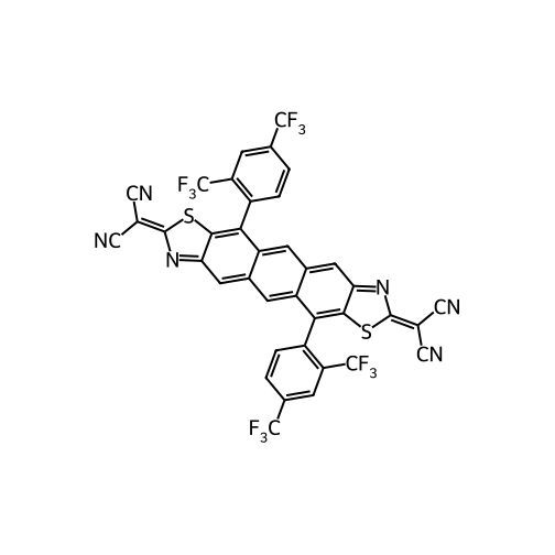 N#CC(C#N)=c1nc2cc3cc4c(-c5ccc(C(F)(F)F)cc5C(F)(F)F)c5sc(=C(C#N)C#N)nc5cc4cc3c(-c3ccc(C(F)(F)F)cc3C(F)(F)F)c2s1